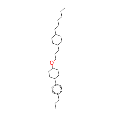 CCCCCCC1CCC(CCCOC2CCC(c3ccc(CCC)cc3)CC2)CC1